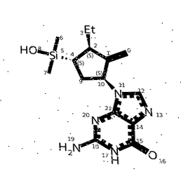 C=C1[C@H](CC)[C@@H]([Si](C)(C)O)C[C@@H]1n1cnc2c(=O)[nH]c(N)nc21